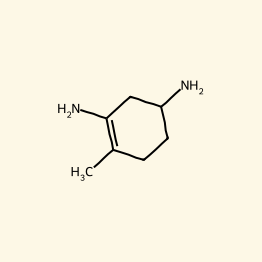 CC1=C(N)CC(N)CC1